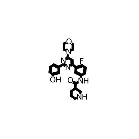 O=C(Nc1ccc(F)c(-c2cc(N3CCOCC3)nc(-c3cccc(O)c3)n2)c1)C1CCCNC1